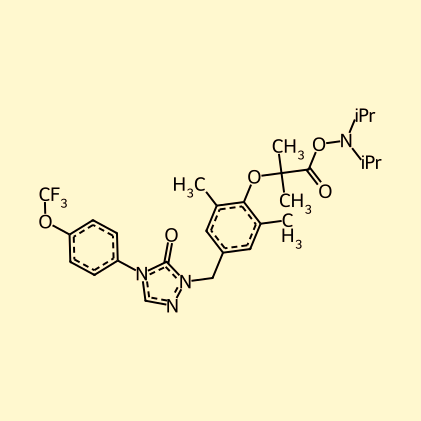 Cc1cc(Cn2ncn(-c3ccc(OC(F)(F)F)cc3)c2=O)cc(C)c1OC(C)(C)C(=O)ON(C(C)C)C(C)C